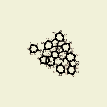 c1ccc(N(c2ccccc2)c2ccc3c(c2)C2(c4ccccc4-3)c3ccccc3-c3c2cc2ccccc2c3N(c2ccccc2)c2cccc3oc4ccccc4c23)cc1